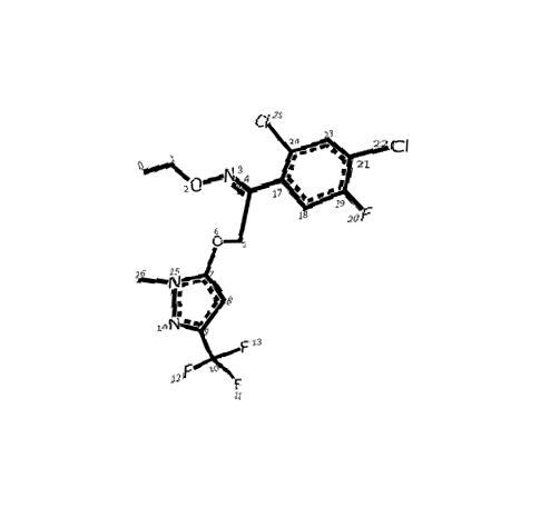 CCO/N=C(\COc1cc(C(F)(F)F)nn1C)c1cc(F)c(Cl)cc1Cl